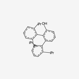 CC(C)c1cccc(C(C)C)c1-c1cccc(O)c1-c1c(C(C)C)cccc1C(C)C